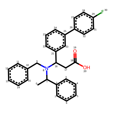 CC(c1ccccc1)N(Cc1ccccc1)C(CC(=O)O)c1cccc(-c2ccc(F)cc2)c1